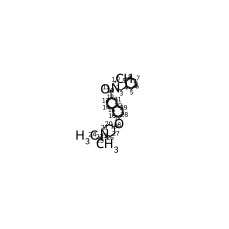 CCN(Cc1ccccc1)C(=O)c1ccc2cc(OC3CCN(C(C)C)CC3)ccc2c1